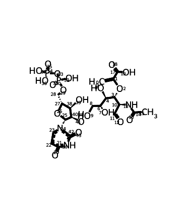 C=C(O[C@@H]([C@H](O)[C@H](O)CO)[C@H](C=O)NC(C)=O)C(=O)O.O=c1ccn([C@@H]2O[C@H](COP(=O)(O)OP(=O)(O)O)[C@@H](O)[C@H]2O)c(=O)[nH]1